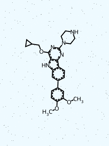 COc1ccc(-c2ccc3c(c2)[nH]c2c(OCC4CC4)nc(N4CCNCC4)nc23)cc1OC